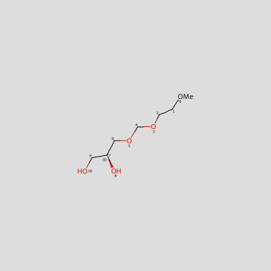 COCCOCOC[C@@H](O)CO